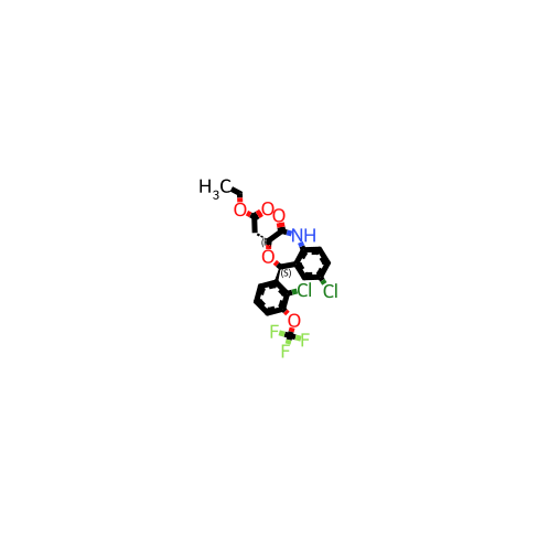 CCOC(=O)C[C@H]1O[C@H](c2cccc(OC(F)(F)F)c2Cl)c2cc(Cl)ccc2NC1=O